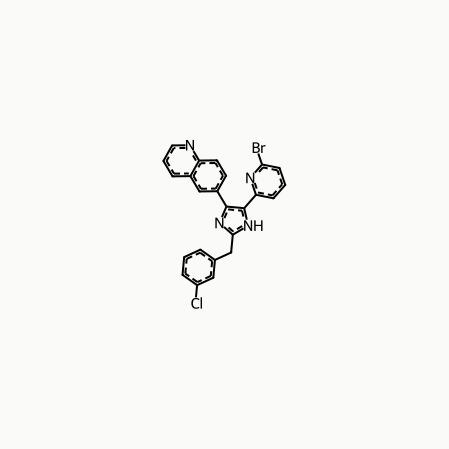 Clc1cccc(Cc2nc(-c3ccc4ncccc4c3)c(-c3cccc(Br)n3)[nH]2)c1